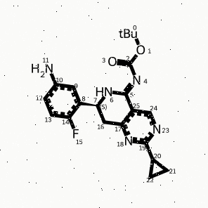 CC(C)(C)OC(=O)N=C1N[C@H](c2cc(N)ccc2F)Cc2nc(C3CC3)ncc21